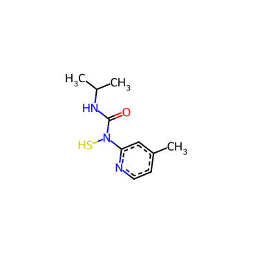 Cc1ccnc(N(S)C(=O)NC(C)C)c1